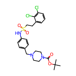 CC(C)(C)OC(=O)N1CCN(Cc2ccc(NS(=O)(=O)CCc3cccc(Cl)c3Cl)cc2)CC1